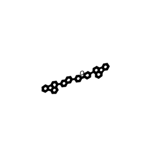 c1ccc2c(c1)-c1cccc3c(-c4ccc5cc(-c6ccc7c(c6)oc6cc(-c8ccc9c%10c(cccc8%10)-c8ccccc8-9)ccc67)ccc5c4)ccc-2c13